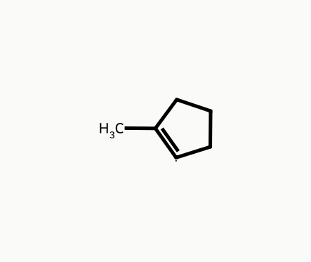 CC1=[C]CCC1